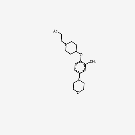 CC(=O)CCN1CCC(Oc2ccc(N3CCOCC3)cc2C)CC1